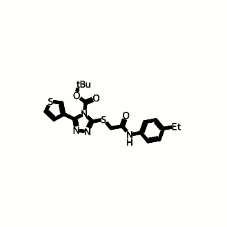 CCc1ccc(NC(=O)CSc2nnc(-c3ccsc3)n2C(=O)OC(C)(C)C)cc1